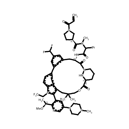 C=CC(=O)N1CC[C@H](C(=O)N(C)C(C(=O)N[C@H]2Cc3cc(cc(C(F)F)c3)-c3ccc4c(c3)c(c(-c3cc(N5CCN(C)CC5)cnc3[C@H](C)OC)n4CC(F)(F)F)CC(C)(C)COC(=O)[C@@H]3CCCN(N3)C2=O)C(C)C)C1